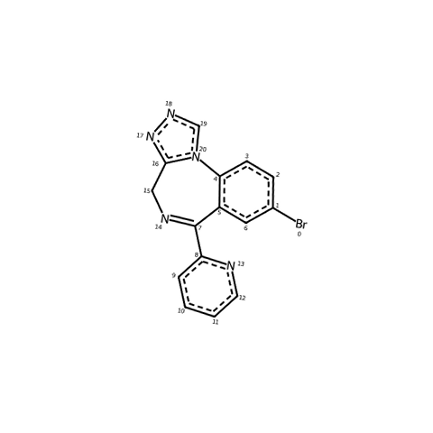 Brc1ccc2c(c1)C(c1ccccn1)=NCc1nncn1-2